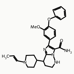 CC=CN1CCC(C2CCNn3c2nc(-c2ccc(Oc4ccccc4)c(OC)c2)c3C(N)=O)CC1